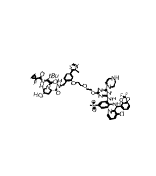 Cc1ncsc1-c1ccc(CNC(=O)[C@@H]2C[C@H](O)CN2C(=O)[C@@H](NC(=O)C2(F)CC2)C(C)(C)C)c(OCCOCCOc2nc(Nc3cc(S(C)(=O)=O)ccc3N[C@@H](c3cccc4c3OC(F)(F)O4)c3ncccc3Cl)nc(N3CCNCC3)n2)c1